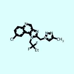 CCC(F)(F)Cn1c(Cn2cc(C)nn2)nc2cnc3ccc(Cl)cc3c21